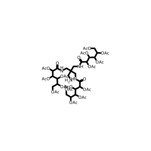 CC(=O)OCC(OC(C)=O)C(OC(C)=O)C(OC(C)=O)C(OC(C)=O)C(=O)NCC(CN)(CNC(=O)C(OC(C)=O)C(OC(C)=O)C(OC(C)=O)C(COC(C)=O)OC(C)=O)CNC(=O)C(OC(C)=O)C(OC(C)=O)C(OC(C)=O)C(COC(C)=O)OC(C)=O